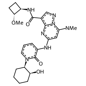 CNc1cc(Nc2cccn([C@@H]3CCCC[C@@H]3O)c2=O)nc2c(C(=O)N[C@@H]3CC[C@H]3OC)cnn12